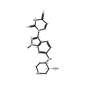 CO[C@@H]1CNCC[C@H]1Nc1ccc2c(-n3ccc(=O)[nH]c3=O)nn(C)c2c1